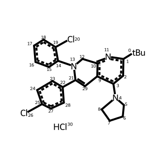 CC(C)(C)c1cc(N2CCCC2)c2c(n1)CN(c1ccccc1Cl)C(c1ccc(Cl)cc1)=C2.Cl